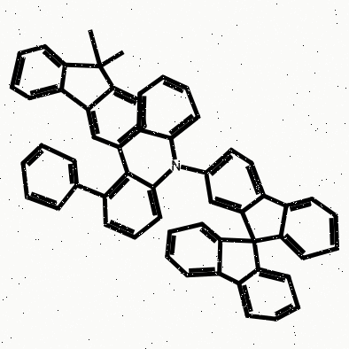 CC1(C)c2ccccc2-c2cc(-c3c(-c4ccccc4)cccc3N(c3ccccc3)c3ccc4c(c3)C3(c5ccccc5-c5ccccc53)c3ccccc3-4)ccc21